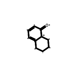 O=C1C=CC=C2CCCCC12